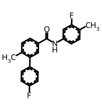 Cc1ccc(NC(=O)c2ccc(C)c(-c3ccc(F)cc3)c2)cc1F